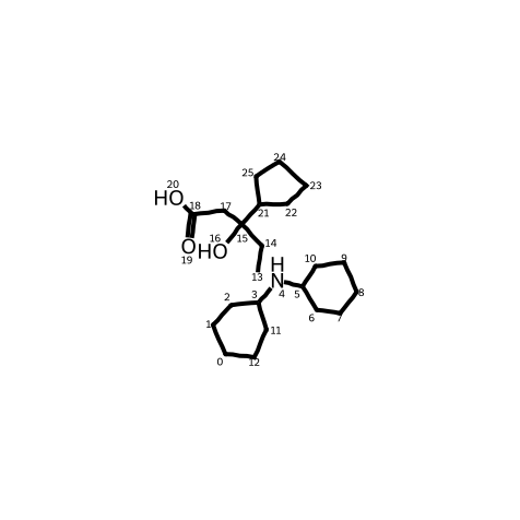 C1CCC(NC2CCCCC2)CC1.CCC(O)(CC(=O)O)C1CCCC1